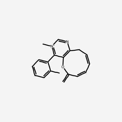 C=C1/C=C\C=C/Cc2nc[n+](C)c(-c3ccccc3C)c2O1